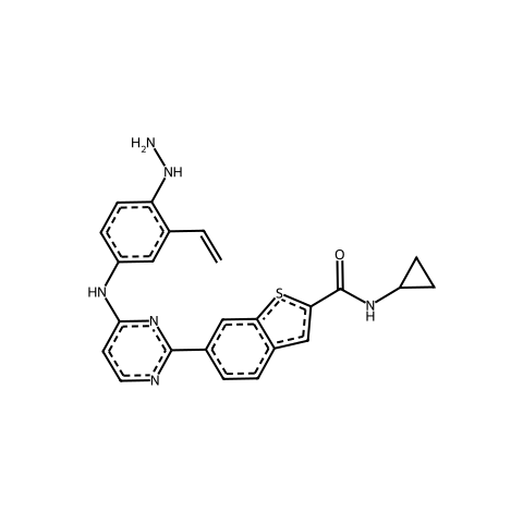 C=Cc1cc(Nc2ccnc(-c3ccc4cc(C(=O)NC5CC5)sc4c3)n2)ccc1NN